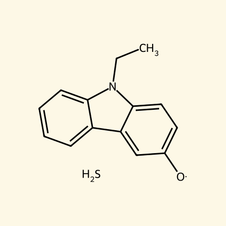 CCn1c2ccccc2c2cc([O])ccc21.S